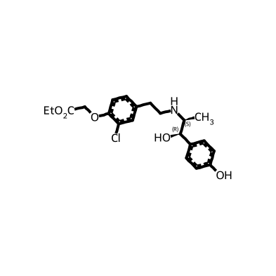 CCOC(=O)COc1ccc(CCN[C@@H](C)[C@H](O)c2ccc(O)cc2)cc1Cl